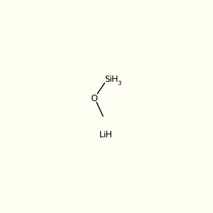 CO[SiH3].[LiH]